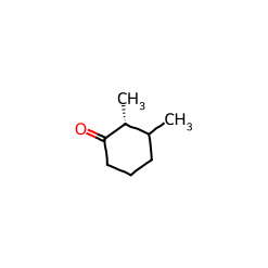 CC1CCCC(=O)[C@@H]1C